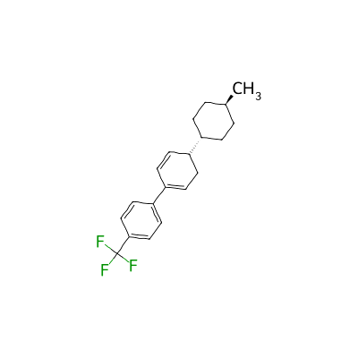 C[C@H]1CC[C@H](C2C=CC(c3ccc(C(F)(F)F)cc3)=CC2)CC1